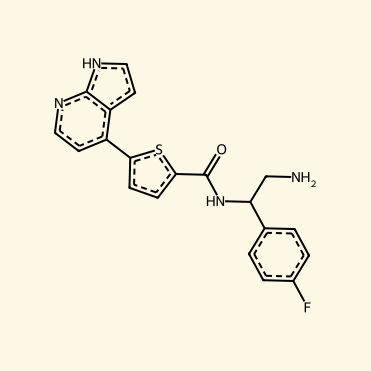 NCC(NC(=O)c1ccc(-c2ccnc3[nH]ccc23)s1)c1ccc(F)cc1